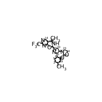 Cc1ccc(C2=NN(C(=O)N[C@H](C)c3cnc(C(F)(F)F)nc3)CC2N2CCOC2=O)cc1